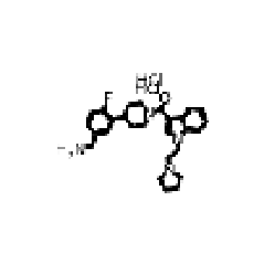 Cl.Cl.NCc1ccc(F)c(C2CCN(C(=O)c3cn(CCN4CCCC4)c4ccccc34)CC2)c1